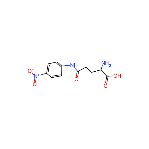 NC(CCC(=O)Nc1ccc([N+](=O)[O-])cc1)C(=O)O